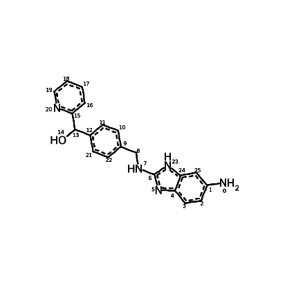 Nc1ccc2nc(NCc3ccc(C(O)c4ccccn4)cc3)[nH]c2c1